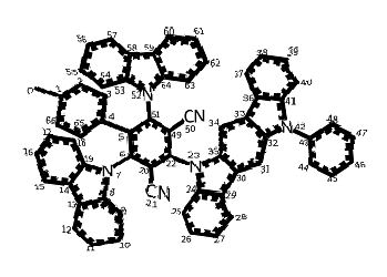 Cc1ccc(-c2c(-n3c4ccccc4c4ccccc43)c(C#N)c(-n3c4ccccc4c4cc5c(cc43)c3ccccc3n5-c3ccccc3)c(C#N)c2-n2c3ccccc3c3ccccc32)cc1